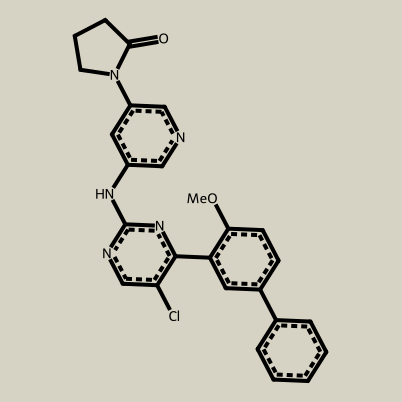 COc1ccc(-c2ccccc2)cc1-c1nc(Nc2cncc(N3CCCC3=O)c2)ncc1Cl